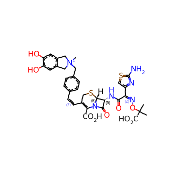 CC(C)(O/N=C(\C(=O)N[C@@H]1C(=O)N2C(C(=O)O)=C(/C=C\c3ccc(C[N+]4(C)Cc5cc(O)c(O)cc5C4)cc3)CS[C@H]12)c1csc(N)n1)C(=O)O